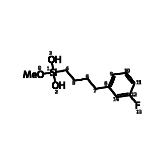 CO[Si](O)(O)CCCCc1cccc(F)c1